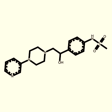 CS(=O)(=O)Nc1ccc(C(O)CN2CCN(c3cccnc3)CC2)cc1